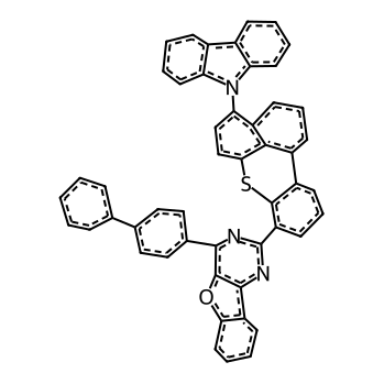 c1ccc(-c2ccc(-c3nc(-c4cccc5c4Sc4ccc(-n6c7ccccc7c7ccccc76)c6cccc-5c46)nc4c3oc3ccccc34)cc2)cc1